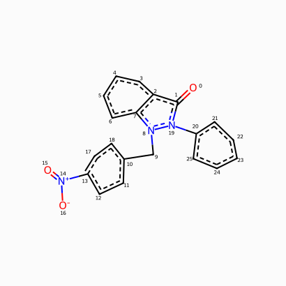 O=c1c2ccccc2n(Cc2ccc([N+](=O)[O-])cc2)n1-c1ccccc1